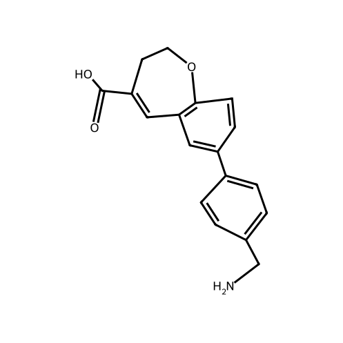 NCc1ccc(-c2ccc3c(c2)C=C(C(=O)O)CCO3)cc1